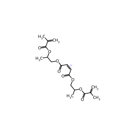 C=C(C)C(=O)OC(C)COC(=O)/C=C\C(=O)OCC(C)OC(=O)C(=C)C